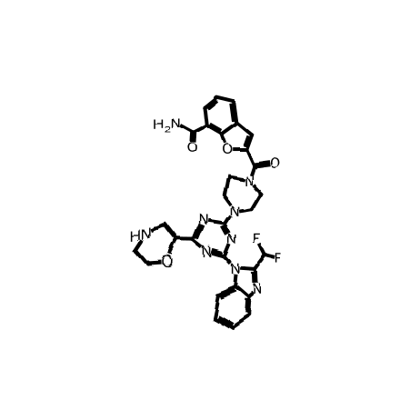 NC(=O)c1cccc2cc(C(=O)N3CCN(c4nc(C5CNCCO5)nc(-n5c(C(F)F)nc6ccccc65)n4)CC3)oc12